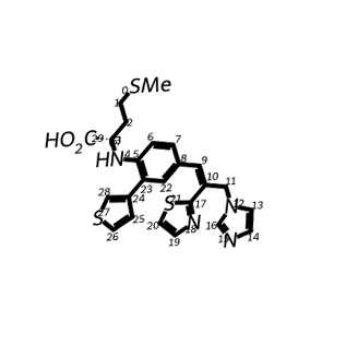 CSCC[C@H](Nc1ccc(C=C(Cn2ccnc2)c2nccs2)cc1-c1ccsc1)C(=O)O